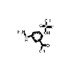 NNc1cccc(C(=O)O)c1.O=S(=O)(O)O